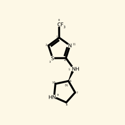 FC(F)(F)c1csc(N[C@H]2CCNC2)n1